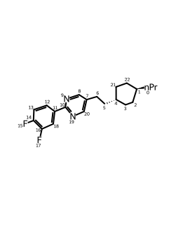 CCC[C@H]1CC[C@H](CCc2cnc(-c3ccc(F)c(F)c3)nc2)CC1